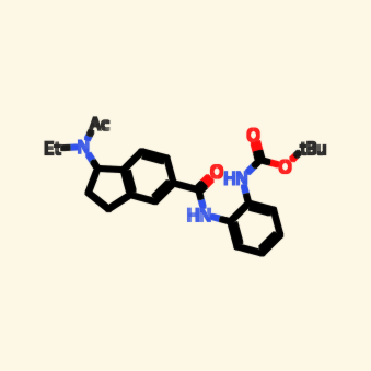 CCN(C(C)=O)C1CCc2cc(C(=O)Nc3ccccc3NC(=O)OC(C)(C)C)ccc21